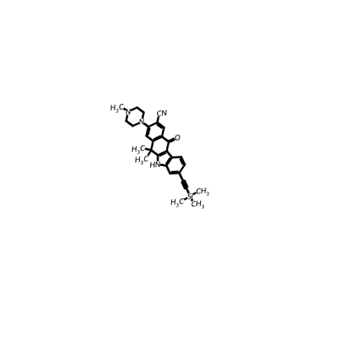 CN1CCN(c2cc3c(cc2C#N)C(=O)c2c([nH]c4cc(C#C[Si](C)(C)C)ccc24)C3(C)C)CC1